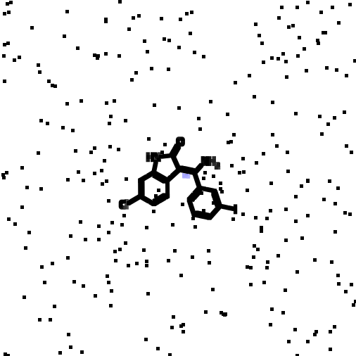 N/C(=C1\C(=O)Nc2cc(Cl)ccc21)c1cccc(I)c1